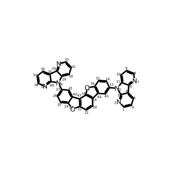 c1cnc2c(c1)c1ncccc1n2-c1ccc2oc3c(ccc4oc5ccc(-n6c7cccnc7c7cccnc76)cc5c43)c2c1